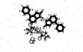 CC1=Cc2c(-c3ccccc3)cccc2[CH]1[Zr+2][CH]1C(C)=Cc2c(-c3ccccc3)cccc21.C[Si](C)(C)C(=O)[NH][GaH][NH]C(=O)[Si](C)(C)C.[Cl-].[Cl-]